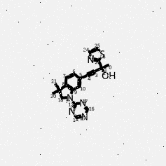 CC(O)(C#Cc1ccc2c(c1)N(c1ncncn1)CC2(C)C)c1nccs1